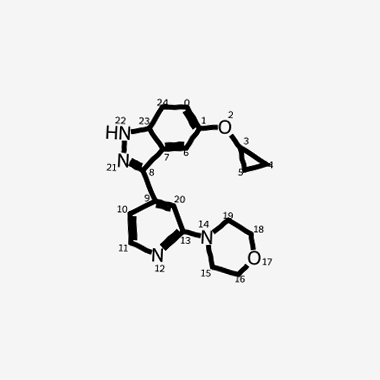 C1=C(OC2CC2)C=C2C(c3ccnc(N4CCOCC4)c3)=NNC2C1